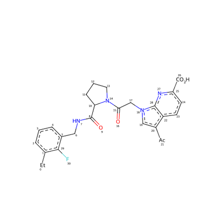 CCc1cccc(CNC(=O)C2CCCN2C(=O)Cn2cc(C(C)=O)c3ccc(C(=O)O)nc32)c1F